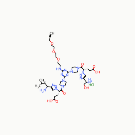 C#CCOCCOCCOCCNc1nc(N2CCN(C(=O)[C@H](CCC(=O)O)n3cc(C(N)CO)nn3)CC2)nc(N2CCN(C(=O)[C@H](CCC(=O)O)n3cc(C(N)CC(C)C)nn3)CC2)n1.Cl